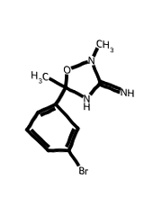 CN1OC(C)(c2cccc(Br)c2)NC1=N